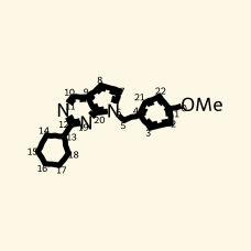 COc1ccc(Cn2ccc3cnc(C4CCCCC4)nc32)cc1